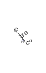 Clc1cccc(N/N=C/c2cc(N3CCOCC3)nc(OCCc3ccccn3)n2)c1